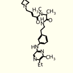 CCc1ncc(Nc2cccc(CCNC(=O)[C@H](C)N(C)C(=O)/C=C/CN3CCC3)c2)nc1C